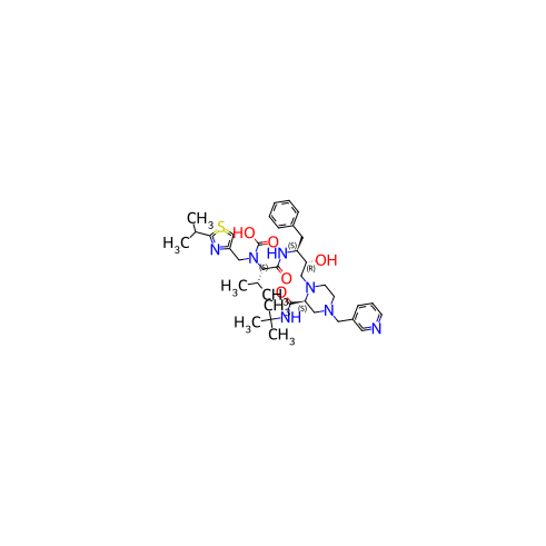 CC(C)c1nc(CN(C(=O)O)[C@H](C(=O)N[C@@H](Cc2ccccc2)[C@H](O)CN2CCN(Cc3cccnc3)C[C@H]2C(=O)NC(C)(C)C)C(C)C)cs1